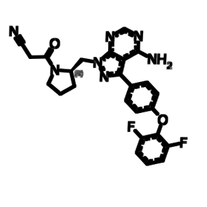 N#CCC(=O)N1CCC[C@@H]1Cn1nc(-c2ccc(Oc3c(F)cccc3F)cc2)c2c(N)ncnc21